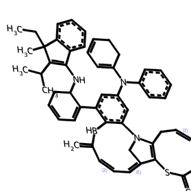 C=C1Bc2c(C3=CC=CCC3NC3=C(C(C)C)C(C)(CC)c4ccccc43)cc(N(C3=CC=CCC3)c3ccccc3)cc2N2C/C(=C\C=C/1)C1=C2C/C=C\C=C/C(=C)S1